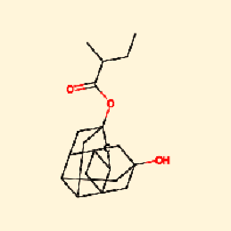 CCC(C)C(=O)OC12CC3C4CC5(O)CC36CC(C5)(C4C1)C6C2